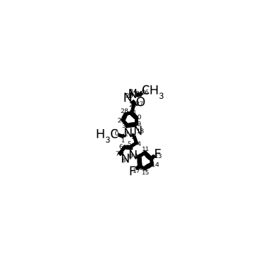 CCn1c(Cc2ccnn2-c2cc(F)ccc2F)nc2cc(-c3nnc(C)o3)ccc21